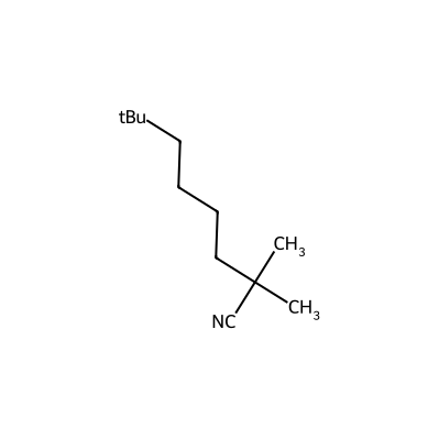 CC(C)(C)CCCCC(C)(C)C#N